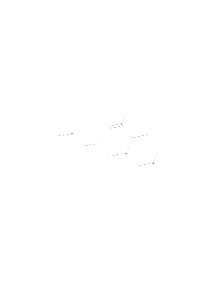 CC[CH2][Cr][CH2]C(CC(C)Cl)C(C)C(=O)O